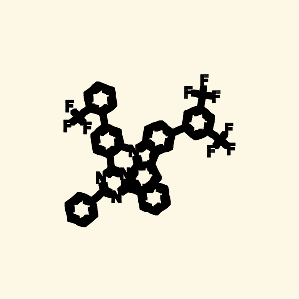 FC(F)(F)c1cc(-c2ccc3c(c2)c2ccccc2n3-c2cc(-c3ccccc3C(F)(F)F)ccc2-c2nc(-c3ccccc3)nc(-c3ccccc3)n2)cc(C(F)(F)F)c1